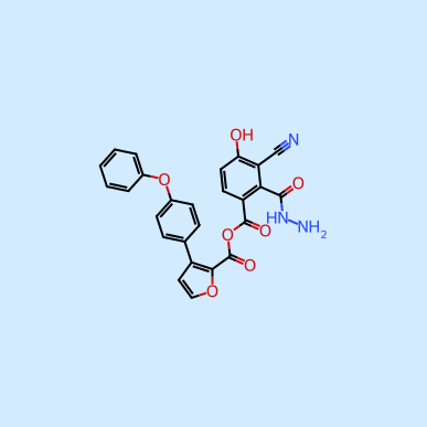 N#Cc1c(O)ccc(C(=O)OC(=O)c2occc2-c2ccc(Oc3ccccc3)cc2)c1C(=O)NN